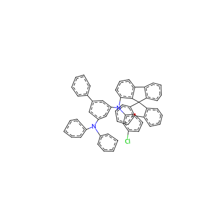 Clc1cccc(N(c2cc(-c3ccccc3)cc(N(c3ccccc3)c3ccccc3)c2)c2cccc3c2C2(c4ccccc4-c4ccccc42)c2ccccc2-3)c1